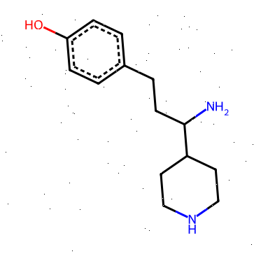 NC(CCc1ccc(O)cc1)C1CCNCC1